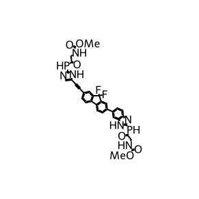 COC(=O)NCC(=O)Pc1ncc(C#Cc2ccc3c(c2)C(F)(F)c2cc(-c4ccc5nc(PC(=O)CNC(=O)OC)[nH]c5c4)ccc2-3)[nH]1